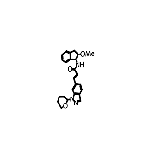 CO[C@H]1Cc2ccccc2[C@@H]1NC(=O)/C=C/c1ccc2cnn(C3CCCCO3)c2c1